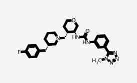 Cn1nnnc1-c1cccc(NC(=O)N[C@H]2COCC[C@H]2CN2CCC[C@@H](Cc3ccc(F)cc3)C2)c1